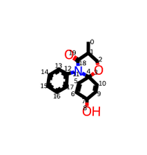 CC1COC2(C=CC(O)C=C2)N(c2ccccc2)C1=O